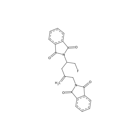 C=C(CC(CF)N1C(=O)c2ccccc2C1=O)CN1C(=O)c2ccccc2C1=O